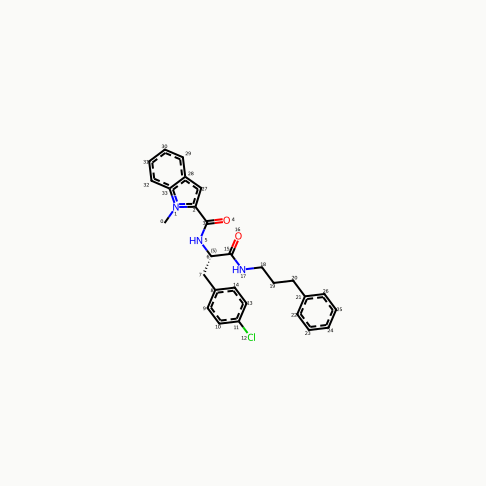 Cn1c(C(=O)N[C@@H](Cc2ccc(Cl)cc2)C(=O)NCCCc2ccccc2)cc2ccccc21